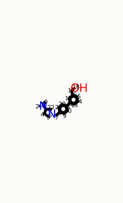 CN(C)C1CCN(Cc2ccc(-c3cccc(CO)c3)cc2)C1